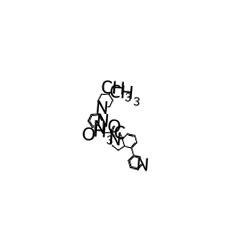 CC1(C)CCN(c2ccc(=O)n(CC(=O)N3CCC4C(c5cccnc5)=CC=CC43C)n2)CC1